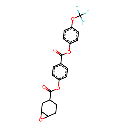 O=C(Oc1ccc(OC(F)(F)F)cc1)c1ccc(OC(=O)C2CCC3OC3C2)cc1